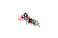 CO/N=C(/C(=O)O)c1ccccc1COc1cc(Cl)c(OC(C)C)c(Cl)c1